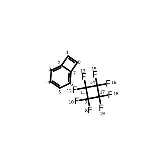 C1=Cc2ccccc21.FC1(F)C(F)(F)C(F)(F)C1(F)F